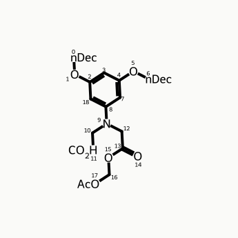 CCCCCCCCCCOc1cc(OCCCCCCCCCC)cc(N(CC(=O)O)CC(=O)OCOC(C)=O)c1